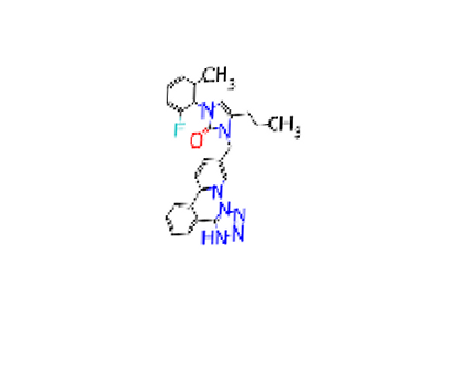 CCCc1cn(-c2c(C)cccc2F)c(=O)n1Cc1ccc(-c2ccccc2-c2nnn[nH]2)nc1